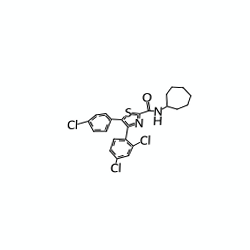 O=C(NC1CCCCCC1)c1nc(-c2ccc(Cl)cc2Cl)c(-c2ccc(Cl)cc2)s1